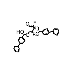 O=C[C@@H](F)[C@H](OC(=O)c1ccc(-c2ccccc2)cc1)[C@@H](Br)COC(O)c1ccc(-c2ccccc2)cc1